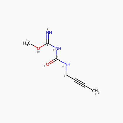 CC#CCNC(=O)NC(=N)OC